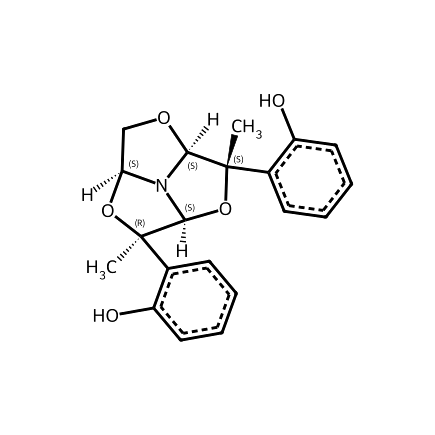 C[C@@]1(c2ccccc2O)O[C@@H]2N3[C@H](CO[C@H]31)O[C@]2(C)c1ccccc1O